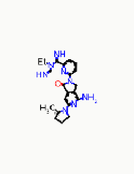 CCN(C=N)C(=N)c1cccc(N2Cc3c(cc(N4CCC[C@H]4C)nc3N)C2=O)n1